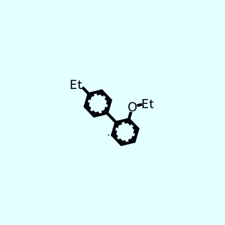 CCOc1ccc[c]c1-c1ccc(CC)cc1